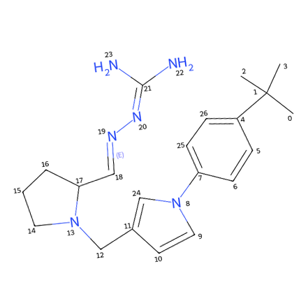 CC(C)(C)c1ccc(-n2ccc(CN3CCCC3/C=N/N=C(N)N)c2)cc1